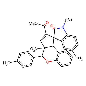 CCCCN1C(=O)C2(C(C(=O)OC)=CC3([N+](=O)[O-])C(c4ccc(C)cc4)Oc4ccccc4C23)c2cc(C)ccc21